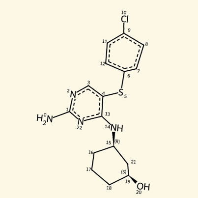 Nc1ncc(Sc2ccc(Cl)cc2)c(N[C@@H]2CCC[C@H](O)C2)n1